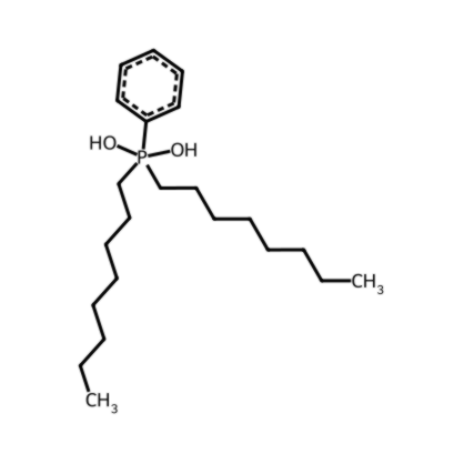 CCCCCCCCP(O)(O)(CCCCCCCC)c1ccccc1